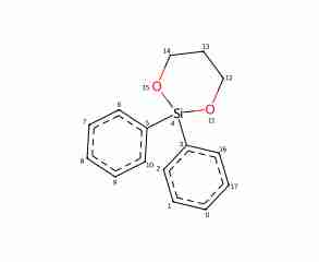 c1ccc([Si]2(c3ccccc3)OCCCO2)cc1